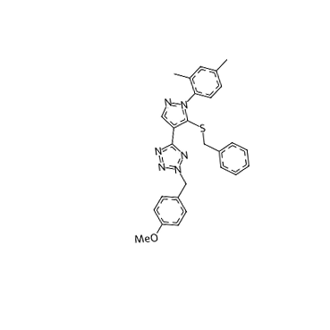 COc1ccc(Cn2nnc(-c3cnn(-c4ccc(C)cc4C)c3SCc3ccccc3)n2)cc1